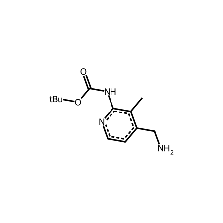 Cc1c(CN)ccnc1NC(=O)OC(C)(C)C